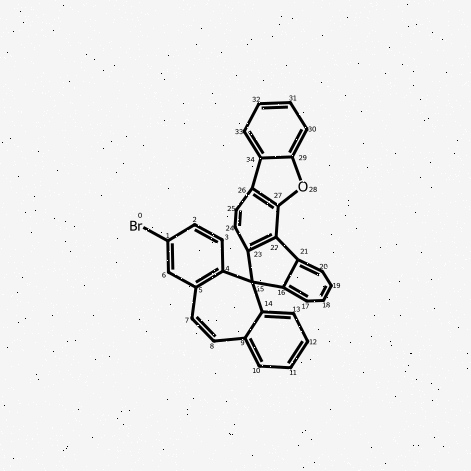 Brc1ccc2c(c1)C=Cc1ccccc1C21c2ccccc2-c2c1ccc1c2oc2ccccc21